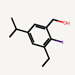 CCc1cc(C(C)C)cc(CO)c1I